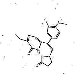 CCc1ccc(/C(=C\[C@H]2CCC(=O)C2)c2ccc(SC)c(Cl)c2)[nH]c1=O